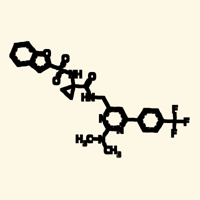 CN(C)c1nc(CNC(=O)C2(NS(=O)(=O)c3cc4ccccc4o3)CC2)cc(-c2ccc(C(F)(F)F)cc2)n1